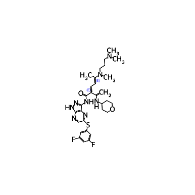 C=C(NC1CCOCC1)/C(=C\C=C(/C)N(C)CCCN(C)C)C(=O)Nc1n[nH]c2ncc(Sc3cc(F)cc(F)c3)nc12